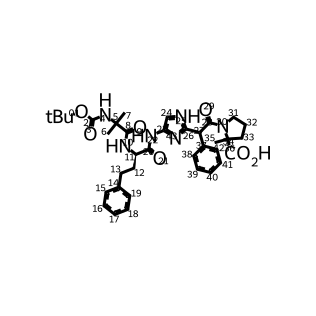 CC(C)(C)OC(=O)NC(C)(C)C(=O)N[C@H](CCc1ccccc1)C(=O)Nc1c[nH]c(C(C(=O)N2CCCC2(C)C(=O)O)c2ccccc2)n1